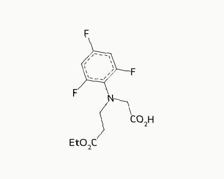 CCOC(=O)CCN(CC(=O)O)c1c(F)cc(F)cc1F